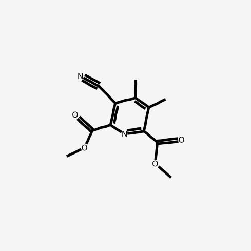 COC(=O)c1nc(C(=O)OC)c(C#N)c(C)c1C